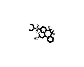 CCN(CC)S(=O)(=O)c1ccc2c(c1)C(CC(=O)O)c1ccccc1C(F)(F)C2(F)F